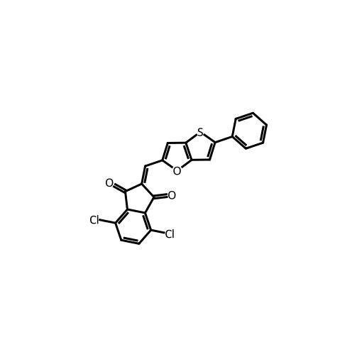 O=C1C(=Cc2cc3sc(-c4ccccc4)cc3o2)C(=O)c2c(Cl)ccc(Cl)c21